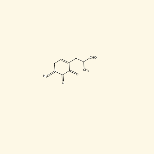 C=C1CC=C(CC(C)C=O)C(=O)C1=O